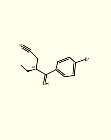 CC[C@@H](CC#N)C(=N)c1ccc(Br)cc1